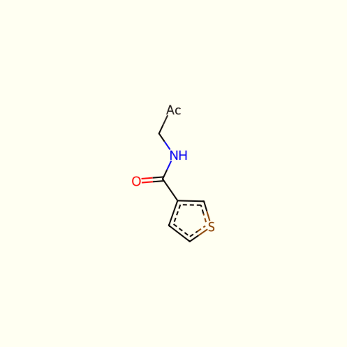 CC(=O)CNC(=O)c1ccsc1